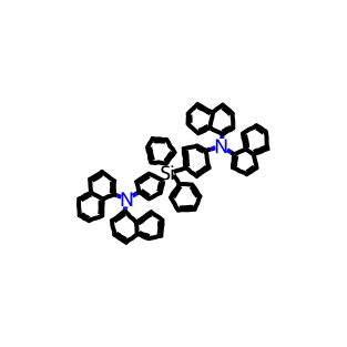 c1ccc([Si](c2ccccc2)(c2ccc(N(c3cccc4ccccc34)c3cccc4ccccc34)cc2)c2ccc(N(c3cccc4ccccc34)c3cccc4ccccc34)cc2)cc1